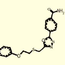 NC(=O)c1ccc(-c2nnc(CSCCOc3ccccc3)o2)cc1